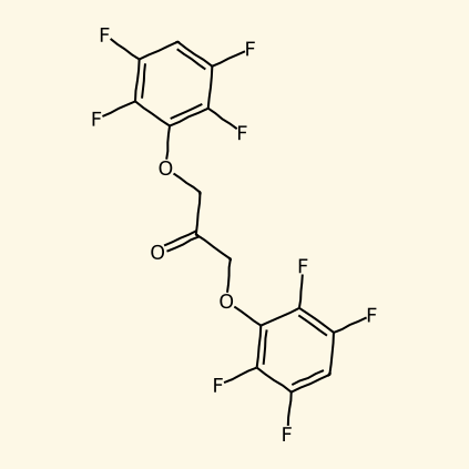 O=C(COc1c(F)c(F)cc(F)c1F)COc1c(F)c(F)cc(F)c1F